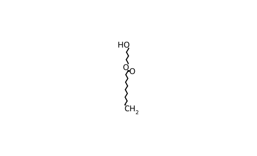 C=CCCCCCCCCC(=O)OCCCCCO